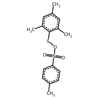 Cc1ccc(S(=O)(=O)OSc2c(C)cc(C)cc2C)cc1